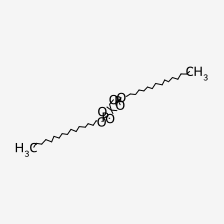 CCCCCCCCCCCCCCCCOP1OCC2(CO1)COP(OCCCCCCCCCCCCCCCC)OC2